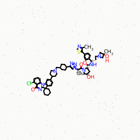 Cc1ncsc1-c1ccc([C@H](CCN2CC(C)(O)C2)NC(=O)[C@@H]2C[C@@H](O)CN2C(=O)[C@@H](n2cc(C3CCC(CN4CCC(c5ccc6c(c5)-n5c(nc(=O)c7c(Cl)cccc75)C65CCCCC5)CC4)CC3)nn2)C(C)(C)C)cc1